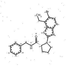 CCc1c(Br)cnc2nc(N3CCC[C@@H]3C(=O)NCc3ccccc3)sc12